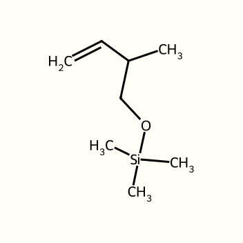 C=CC(C)CO[Si](C)(C)C